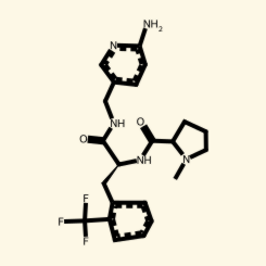 CN1CCCC1C(=O)N[C@@H](Cc1ccccc1C(F)(F)F)C(=O)NCc1ccc(N)nc1